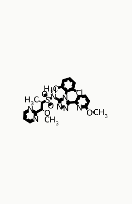 COc1cccc(-c2nnc(NS(=O)(=O)[C@@H](C)[C@H](OC)c3ncccn3)n2-c2c(C)cccc2Cl)n1